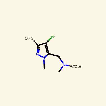 COc1nn(C)c(CN(C)C(=O)O)c1Br